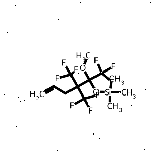 C=CCC(C(F)(F)F)(C(F)(F)F)C(OC)(O[Si](C)(C)C)C(F)(F)F